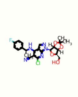 C[C@H](Nc1c(C#N)c(Cl)nc2c1cnn2[C@@H]1O[C@H](CO)[C@H]2OC(C)(C)O[C@H]21)c1ccc(F)cc1